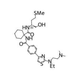 CCN(CCN(C)C)c1nc(-c2ccc(C(=O)NC3(C(=O)N[C@H](CO)CCSC)CCCCC3)cc2)cs1